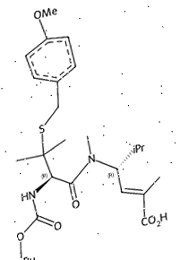 COc1ccc(CSC(C)(C)[C@H](NC(=O)OC(C)(C)C)C(=O)N(C)[C@@H](C=C(C)C(=O)O)C(C)C)cc1